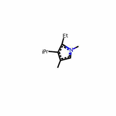 CCc1c(C(C)C)c(C)cn1C